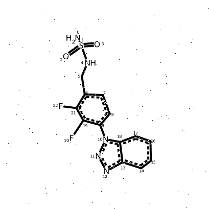 NS(=O)(=O)NCc1ccc(-n2nnc3ccccc32)c(F)c1F